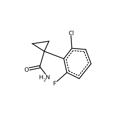 NC(=O)C1(c2c(F)cccc2Cl)CC1